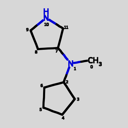 CN(C1CCCC1)C1CCNC1